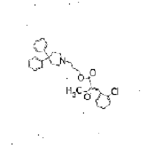 CC(=O)C(=Cc1ccccc1Cl)C(=O)OCCCN1CCC(c2ccccc2)(c2ccccc2)CC1